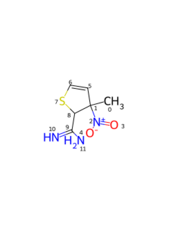 CC1([N+](=O)[O-])C=CSC1C(=N)N